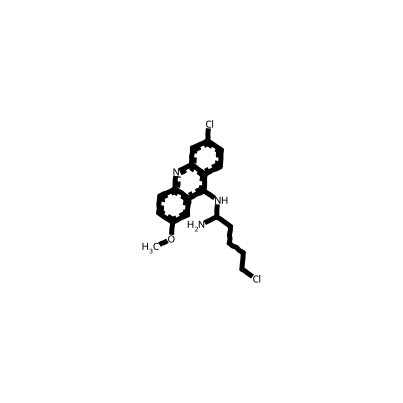 COc1ccc2nc3cc(Cl)ccc3c(NC(N)CCCCCl)c2c1